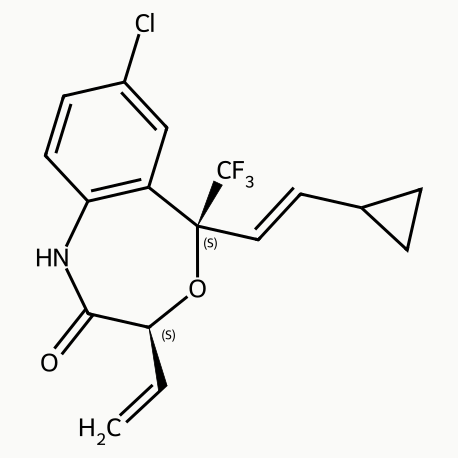 C=C[C@@H]1O[C@](C=CC2CC2)(C(F)(F)F)c2cc(Cl)ccc2NC1=O